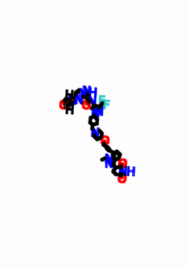 CCn1nc(C2CCC(=O)NC2=O)c2cccc(C#CCOC3CCN(CC4CCC(n5cc(NC(=O)c6cnn7ccc(N8C[C@@H]9C[C@H]8CO9)nc67)c(C(F)F)n5)CC4)CC3)c21